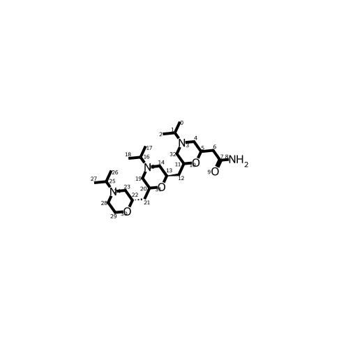 CC(C)N1CC(CC(N)=O)OC(C[C@@H]2CN(C(C)C)CC(C[C@H]3CN(C(C)C)CCO3)O2)C1